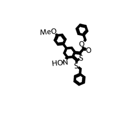 COc1ccc(C2CC(=NO)c3c(SCc4ccccc4)sc(C(=O)OCc4ccccc4)c3C2)cc1